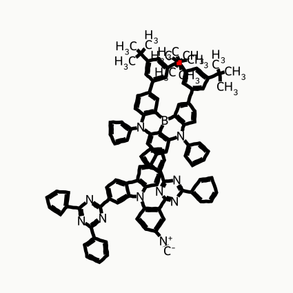 [C-]#[N+]c1ccc(-n2c3ccc(-c4cc5c6c(c4)N(c4ccccc4)c4ccc(-c7cc(C(C)(C)C)cc(C(C)(C)C)c7)cc4B6c4cc(-c6cc(C(C)(C)C)cc(C(C)(C)C)c6)ccc4N5c4ccccc4)cc3c3ccc(-c4nc(-c5ccccc5)nc(-c5ccccc5)n4)cc32)c(-c2nc(-c3ccccc3)nc(-c3ccccc3)n2)c1